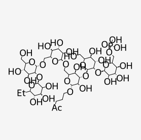 CCC1O[C@@H](OC2[C@@H](OCC3O[C@H](OCC4O[C@@H](OCCCC(C)=O)C(O)[C@@H](O[C@H]5OC(CO)[C@@H](O)[C@H](O)C5O[C@H]5OC(COP(=O)(O)O)[C@@H](O)[C@H](O)C5O)[C@@H]4O)C(O)[C@@H](O)[C@@H]3O)OC(CO)[C@@H](O)[C@@H]2O)C(O)[C@@H](O)[C@@H]1O